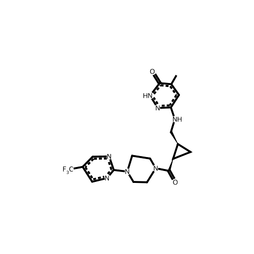 Cc1cc(NC[C@H]2C[C@H]2C(=O)N2CCN(c3ncc(C(F)(F)F)cn3)CC2)n[nH]c1=O